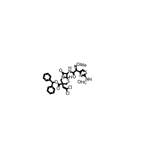 CON=C(C(=O)NC1C(=O)N2CC(C=C(Cl)Cl)(C(=O)OC(c3ccccc3)c3ccccc3)CS[C@H]12)c1csc(NC=O)n1